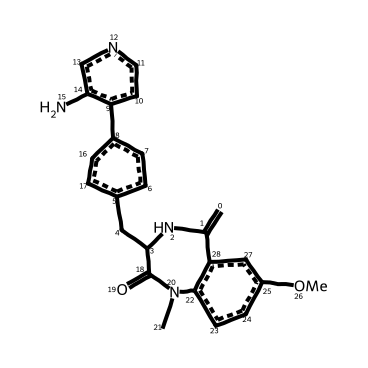 C=C1NC(Cc2ccc(-c3ccncc3N)cc2)C(=O)N(C)c2ccc(OC)cc21